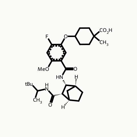 COc1cc(F)c(OC2CCC(C)(C(=O)O)CC2)cc1C(=O)N[C@@H]1[C@H]2CC[C@H](C2)[C@@H]1C(=O)NC(C)C(C)(C)C